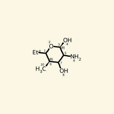 CCC1O[C@@H](O)C(N)C(O)[C@H]1C